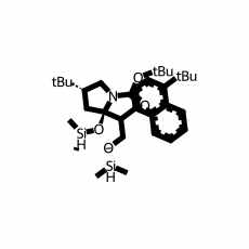 C[SiH](C)OCC(c1ccc(C(C)(C)C)c2ccccc12)[C@]1(O[SiH](C)C)C[C@H](C(C)(C)C)CN1C(=O)OC(C)(C)C